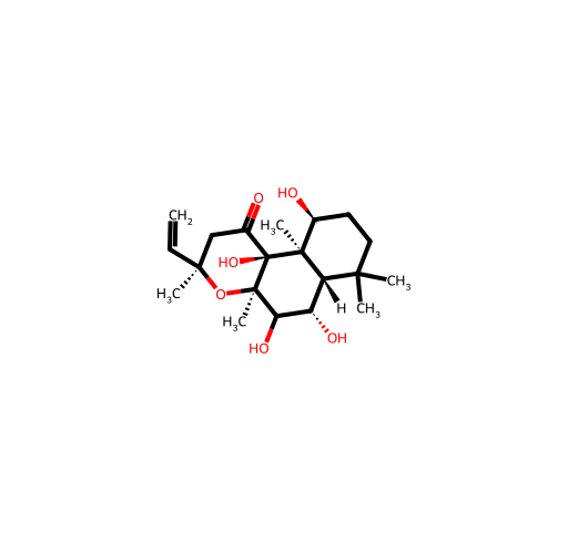 C=C[C@@]1(C)CC(=O)[C@]2(O)[C@@]3(C)[C@@H](O)CCC(C)(C)[C@@H]3[C@H](O)[C](O)[C@@]2(C)O1